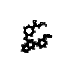 C=CC(=O)N1CCCC(Oc2nc(-c3ccnc(OC)c3)cn3nccc23)CC1